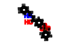 O=S(=O)(Oc1ccc([C@@H](O)CNCc2ccccc2)cc1)c1ccccc1